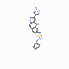 CN1CC(c2cnc3ccc4ccc(CS(=O)(=O)NCc5ccc(F)cc5F)cc4c(=O)c3c2)C=N1